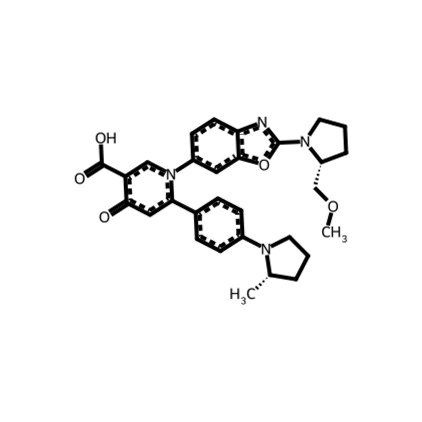 COC[C@H]1CCCN1c1nc2ccc(-n3cc(C(=O)O)c(=O)cc3-c3ccc(N4CCC[C@@H]4C)cc3)cc2o1